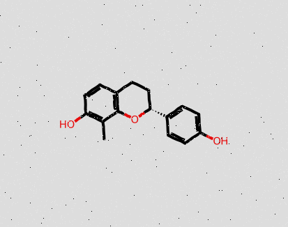 Cc1c(O)ccc2c1O[C@@H](c1ccc(O)cc1)CC2